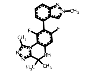 Cc1nnc2n1-c1c(cc(F)c(-c3cccc4nn(C)cc34)c1F)NC2(C)C